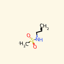 [CH2]S(=O)(=O)NCC=C